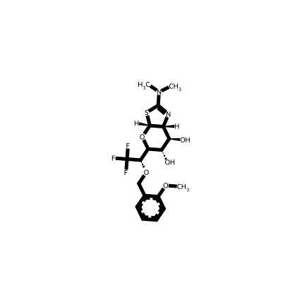 COc1ccccc1CO[C@@H](C1O[C@@H]2SC(N(C)C)=N[C@@H]2[C@@H](O)[C@@H]1O)C(F)(F)F